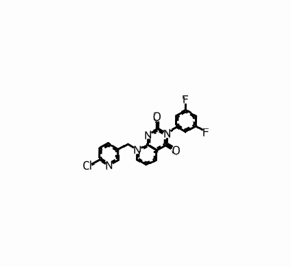 O=c1nc2n(Cc3ccc(Cl)nc3)cccc-2c(=O)n1-c1cc(F)cc(F)c1